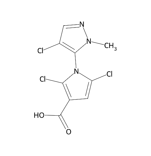 Cn1ncc(Cl)c1-n1c(Cl)cc(C(=O)O)c1Cl